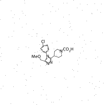 COCc1nnc(C2CCN(C(=O)O)CC2)n1-c1ccc(Cl)cc1